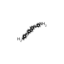 Nc1ccc(COc2ccc3c(c2)Cc2cc(OCc4ccc(N)cc4)ccc2-3)cc1